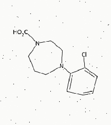 O=C(O)N1CCCN(c2ccccc2Cl)CC1